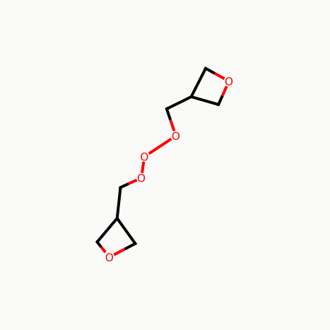 C1OCC1COOOCC1COC1